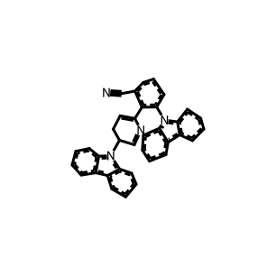 N#Cc1cccc(-n2c3ccccc3c3ccccc32)c1C1=CCC(n2c3ccccc3c3ccccc32)C=N1